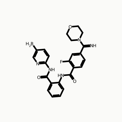 Bc1ccc(NC(=O)c2ccccc2NC(=O)c2ccc(C(=N)N3CCOCC3)cc2F)nc1